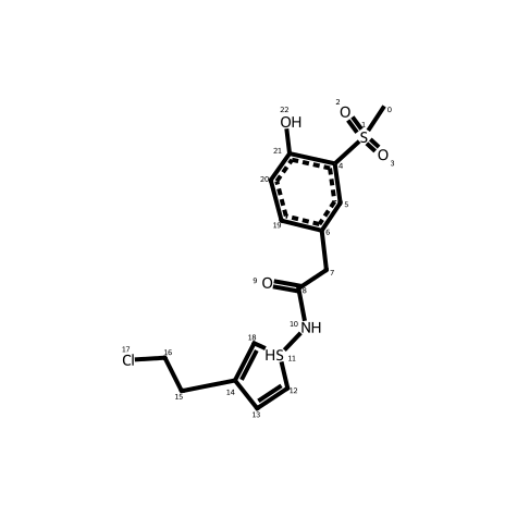 CS(=O)(=O)c1cc(CC(=O)N[SH]2C=CC(CCCl)=C2)ccc1O